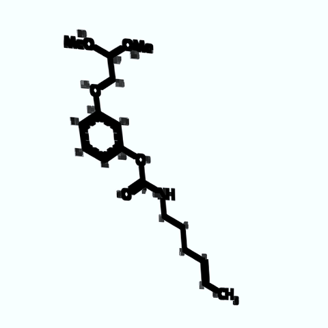 CC=CCCCNC(=O)Oc1cccc(OCC(OC)OC)c1